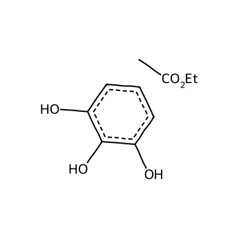 CCOC(C)=O.Oc1cccc(O)c1O